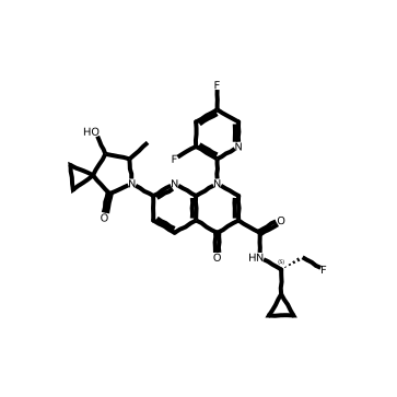 CC1C(O)C2(CC2)C(=O)N1c1ccc2c(=O)c(C(=O)N[C@H](CF)C3CC3)cn(-c3ncc(F)cc3F)c2n1